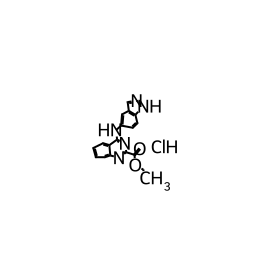 CCOC(=O)c1nc(Nc2ccc3[nH]ncc3c2)c2ccccc2n1.Cl